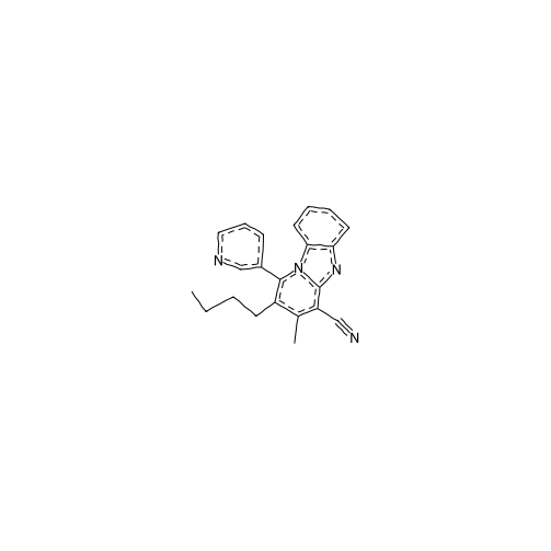 CCCCc1c(C)c(C#N)c2nc3ccccc3n2c1-c1cccnc1